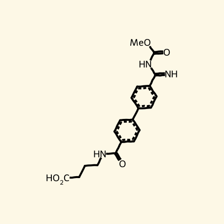 COC(=O)NC(=N)c1ccc(-c2ccc(C(=O)NCCCC(=O)O)cc2)cc1